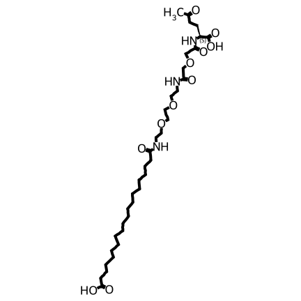 CC(=O)CC[C@H](NC(=O)COCC(=O)NCCOCCOCCNC(=O)CCCCCCCCCCCCCCCCCCC(=O)O)C(=O)O